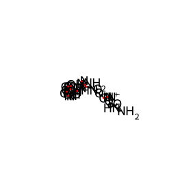 [N-]=[N+]=NCOC1CC(n2cc(C#CCNC(=O)COCCOC(COc3cccc(C(=O)NCCN)c3)N=[N+]=[N-])c3c(N)ncnc32)OC1COP(=O)(O)OP(=O)(O)OP(=O)(O)O